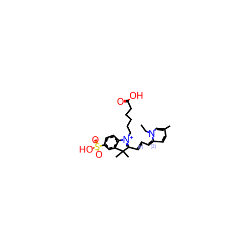 CCN1C=C(C)C=C/C1=C/C=C/C1=[N+](CCCCCC(=O)O)c2ccc(S(=O)(=O)O)cc2C1(C)C